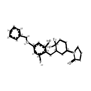 O=C1CCCN1C1CCC(F)(F)C(Cc2c(F)cc(OCc3ccccc3)cc2F)C1